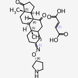 C[C@]12CC/C(=N\O[C@@H]3CCNC3)CC1CC(=O)[C@@H]1[C@@H]2CC[C@]2(C)C(=O)CC[C@@H]12.O=C(O)/C=C/C(=O)O